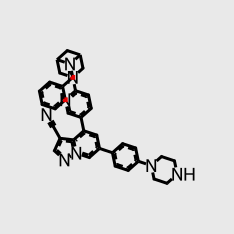 N#Cc1cnn2cc(-c3ccc(N4CCNCC4)cc3)cc(-c3ccc(N4CC5CC(C4)N5Cc4ccccc4)nc3)c12